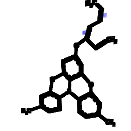 C=C/C(=C\C=C/C)Oc1cc2c3c(c1)Oc1cc(C)ccc1B3c1ccc(C)cc1O2